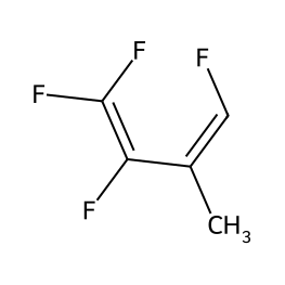 CC(=CF)C(F)=C(F)F